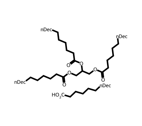 CCCCCCCCCCCCCCCC(=O)O.CCCCCCCCCCCCCCCC(=O)OCC(COC(=O)CCCCCCCCCCCCCCC)OC(=O)CCCCCCCCCCCCCCC